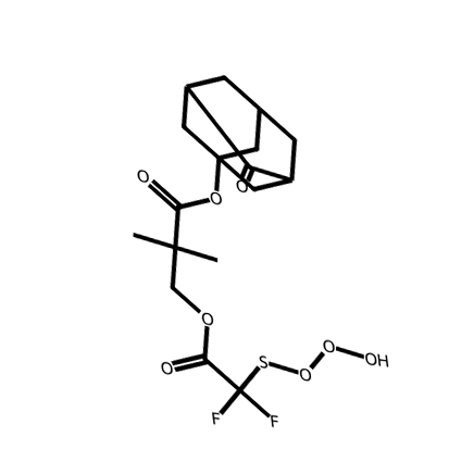 CC(C)(COC(=O)C(F)(F)SOOO)C(=O)OC12CC3CC(C1)C(=O)C(C3)C2